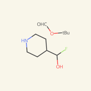 CC(C)(C)OC=O.OC(F)C1CCNCC1